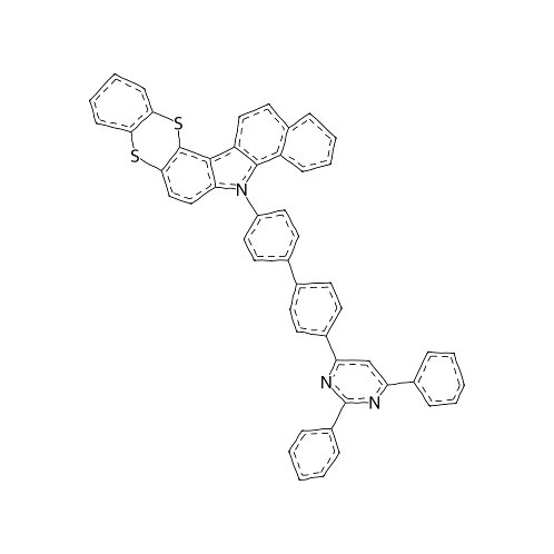 c1ccc(-c2cc(-c3ccc(-c4ccc(-n5c6ccc7c(c6c6ccc8ccccc8c65)Sc5ccccc5S7)cc4)cc3)nc(-c3ccccc3)n2)cc1